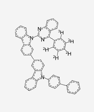 [2H]c1c([2H])c([2H])c(-c2nc(-n3c4ccccc4c4ccc(-c5ccc6c(c5)c5ccccc5n6-c5ccc(-c6ccccc6)cc5)cc43)nc3ccccc23)c([2H])c1[2H]